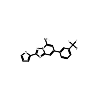 Nc1cc(-c2cccc(C(F)(F)F)c2)cc2nc(-c3ccco3)nn12